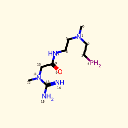 CN(CCP)CCNC(=O)CN(C)C(=N)N